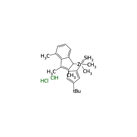 CC1=C(C)[CH]([Zr]([CH3])([CH3])(=[SiH2])[C]2=CC(C(C)(C)C)=CC2)c2cccc(C)c21.Cl.Cl